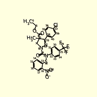 CCOC(=O)C1(C)CN(C(=O)N(Sc2ccccc2[N+](=O)[O-])c2ccc(C(F)(F)F)cc2)N=C1c1ccc(Cl)cc1